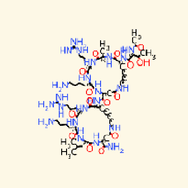 CC(=O)N[C@H](C(=O)N[C@H]1CCCCNC(=O)C[C@@H](C(=O)N[C@H]2CCCCNC(=O)C[C@@H](C(N)=O)NC(=O)[C@H](CC(C)C)NC(=O)[C@H](CCCCN)NC(=O)[C@H](CCCNC(=N)N)NC2=O)NC(=O)[C@H](CCCCN)NC(=O)[C@H](CCCNC(=N)N)NC(=O)[C@H](C)NC1=O)C(C)O